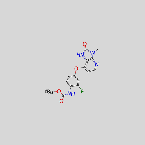 Cn1c(=O)[nH]c2c(Oc3ccc(NC(=O)OC(C)(C)C)c(F)c3)ccnc21